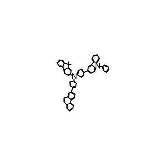 CC1(C)c2ccccc2-c2ccc(N(c3ccc(-c4ccc5c(ccc6ccccc65)c4)cc3)c3ccc(-c4ccc5c(c4)c4ccccc4n5-c4ccccc4)cc3)cc21